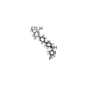 O=C(O)CC1CCC(c2ccc(-c3ccc(Nc4ccc(F)cn4)cn3)cc2)CC1